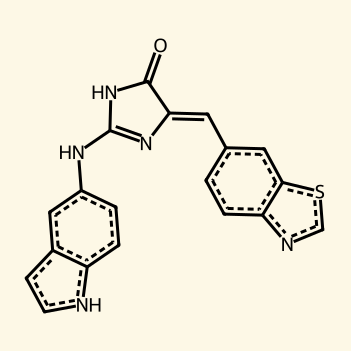 O=C1NC(Nc2ccc3[nH]ccc3c2)=N/C1=C\c1ccc2ncsc2c1